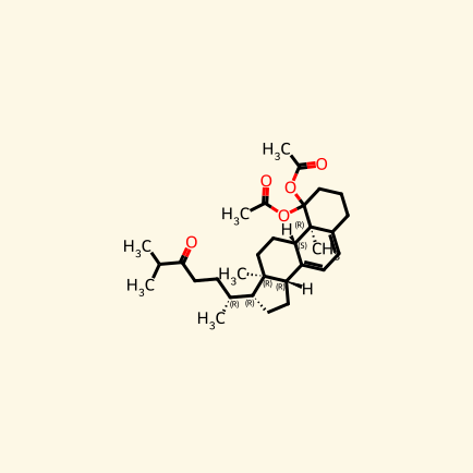 CC(=O)OC1(OC(C)=O)CCCC2=CC=C3[C@@H]4CC[C@H]([C@H](C)CCC(=O)C(C)C)[C@@]4(C)CC[C@@H]3[C@]21C